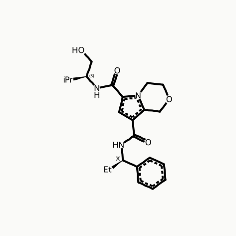 CC[C@@H](NC(=O)c1cc(C(=O)N[C@H](CO)C(C)C)n2c1COCC2)c1ccccc1